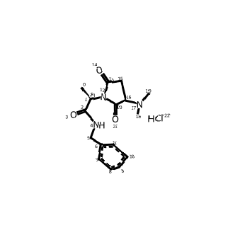 C[C@H](C(=O)NCc1ccccc1)N1C(=O)CC(N(C)C)C1=O.Cl